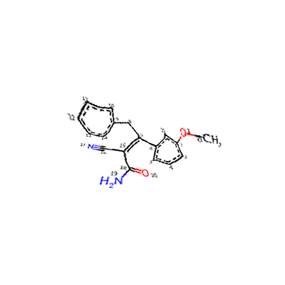 COc1cccc(C(Cc2ccccc2)=C(C#N)C(N)=O)c1